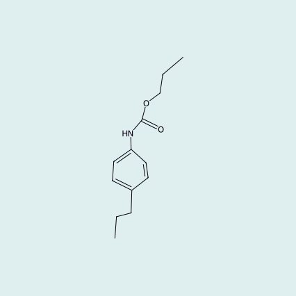 CCCOC(=O)Nc1ccc(CCC)cc1